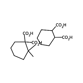 CC1(C)CCCCC1(C(=O)O)C(=O)O.O=C(O)C1CCCCC1C(=O)O